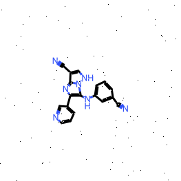 N#Cc1cccc(Nc2c(-c3cccnc3)nc3c(C#N)c[nH]n23)c1